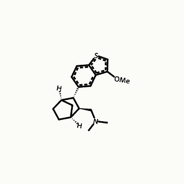 COc1csc2ccc([C@H]3[C@@H]4CC[C@@H](C4)[C@@H]3CN(C)C)cc12